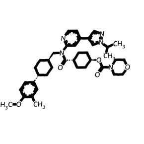 COc1ccc([C@H]2CC[C@H](CN(c3cc(-c4cnn(C(C)C)c4)ccn3)C(=O)[C@H]3CC[C@H](OC(=O)N4CCOCC4)CC3)CC2)cc1C